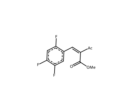 COC(=O)C(=Cc1cc(F)c(F)cc1F)C(C)=O